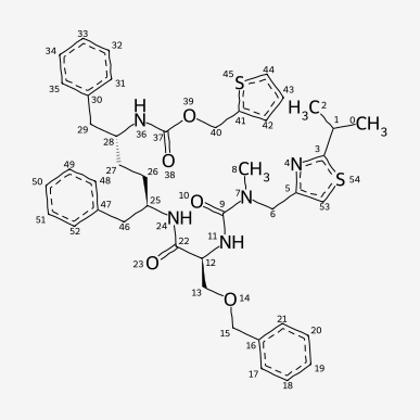 CC(C)c1nc(CN(C)C(=O)N[C@@H](COCc2ccccc2)C(=O)N[C@H](CC[C@H](Cc2ccccc2)NC(=O)OCc2cccs2)Cc2ccccc2)cs1